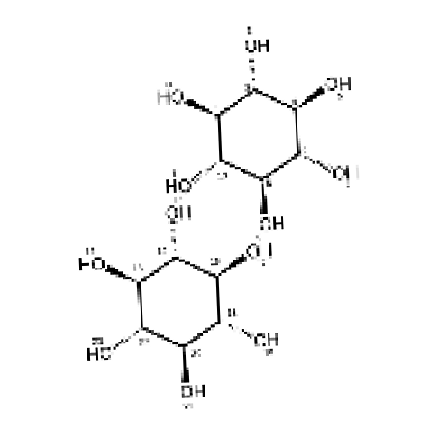 O[C@H]1[C@H](O)[C@@H](O)[C@H](O)[C@@H](O)[C@@H]1O.O[C@H]1[C@H](O)[C@@H](O)[C@H](O)[C@@H](O)[C@@H]1O